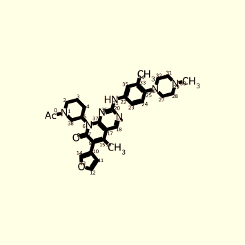 CC(=O)N1CCCC(n2c(=O)c(-c3ccoc3)c(C)c3cnc(Nc4ccc(N5CCN(C)CC5)c(C)c4)nc32)C1